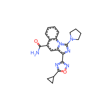 NC(=O)c1cc2c(-c3noc(C4CC4)n3)nc(N3CCCC3)n2c2ccccc12